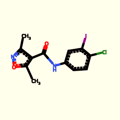 Cc1noc(C)c1C(=O)Nc1ccc(Cl)c(I)c1